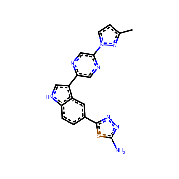 Cc1ccn(-c2cnc(-c3c[nH]c4ccc(-c5nnc(N)s5)cc34)cn2)n1